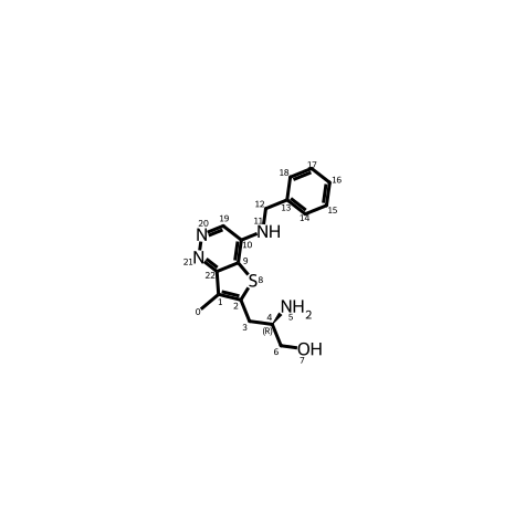 Cc1c(C[C@@H](N)CO)sc2c(NCc3ccccc3)cnnc12